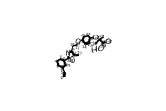 C#Cc1cccc(-c2nc(CCOc3ccc(OC(C)(C)C(=O)O)cc3)c(C)o2)c1